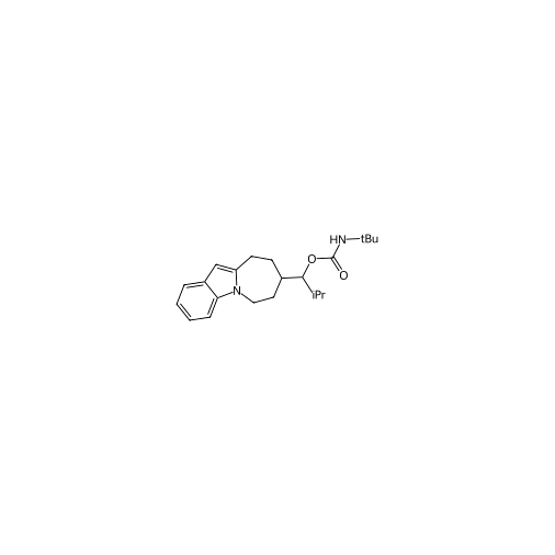 CC(C)C(OC(=O)NC(C)(C)C)C1CCc2cc3ccccc3n2CC1